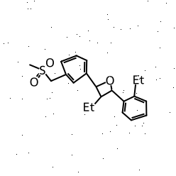 CCc1ccccc1C1OC(c2cccc(CS(C)(=O)=O)c2)C1CC